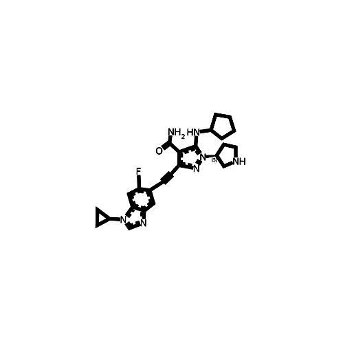 NC(=O)c1c(C#Cc2cc3ncn(C4CC4)c3cc2F)nn([C@H]2CCNC2)c1NC1CCCC1